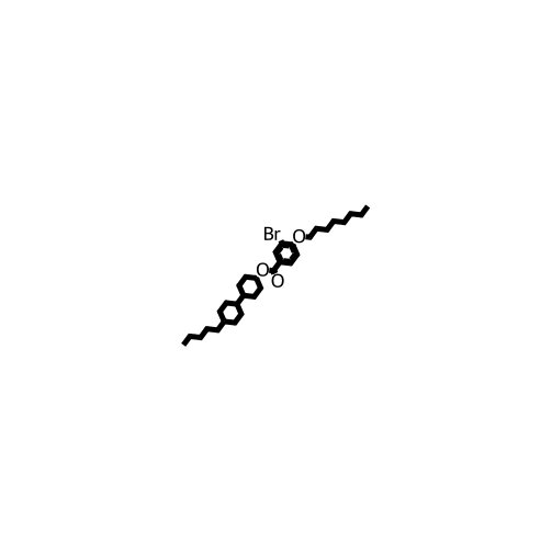 CCCCCCCCOc1ccc(C(=O)OC2CCC(C3CCC(CCCCC)CC3)CC2)cc1Br